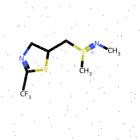 C/N=S(\C)CC1CN=C(C(F)(F)F)S1